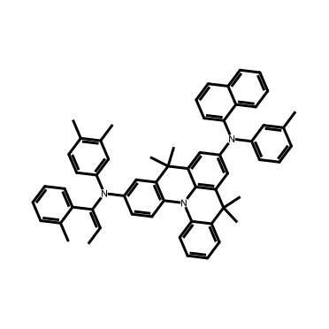 C/C=C(\c1ccccc1C)N(c1ccc(C)c(C)c1)c1ccc2c(c1)C(C)(C)c1cc(N(c3cccc(C)c3)c3cccc4ccccc34)cc3c1N2c1ccccc1C3(C)C